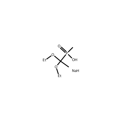 CCOC(C)(OCC)P(C)(=O)O.[NaH]